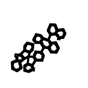 c1ccc2c(c1)-c1oc3ccccc3c1C21c2cc(-c3c4ccccc4c(-c4cccc5cccnc45)c4ccccc34)ccc2-c2ncccc21